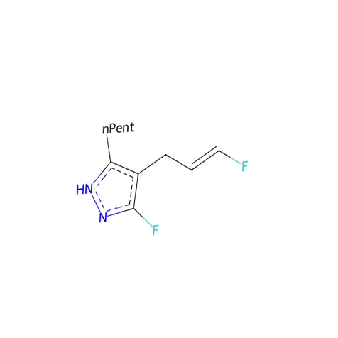 CCCCCc1[nH]nc(F)c1CC=CF